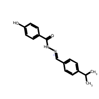 CC(C)c1ccc(/C=N/NC(=O)c2ccc(O)cc2)cc1